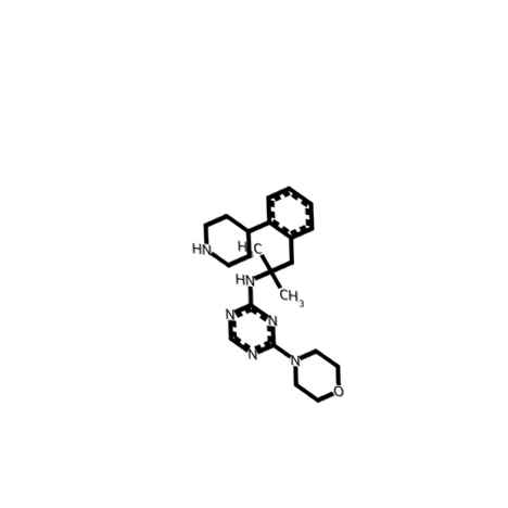 CC(C)(Cc1ccccc1C1CCNCC1)Nc1ncnc(N2CCOCC2)n1